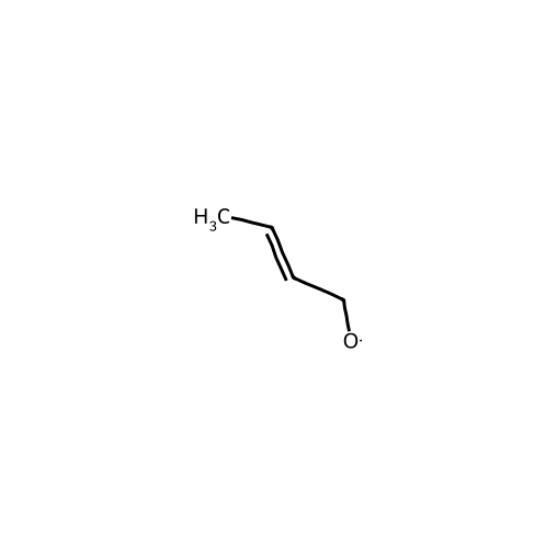 C/C=C/C[O]